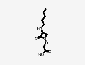 CCCCCNC1CN(OCC(=O)O)C1=O